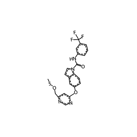 CSOCc1cc(Oc2ccc3c(ccn3C(=O)Nc3cccc(C(F)(F)F)c3)c2)ncn1